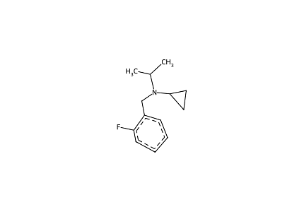 CC(C)N(Cc1ccccc1F)C1CC1